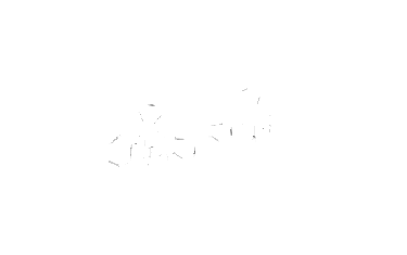 CC(OC1=CC=CCC1)[PH](=O)Oc1ccc(-c2ccc(OP(=O)(Oc3ccccc3)Oc3ccccc3)cc2)cc1